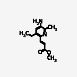 CCc1cc(N)c(C)nc1/C=C/C(=O)OC